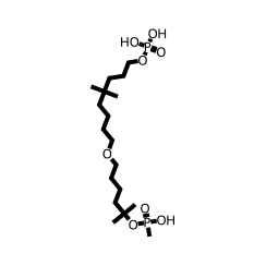 CC(C)(CCCCOCCCCC(C)(C)OP(C)(=O)O)CCCOP(=O)(O)O